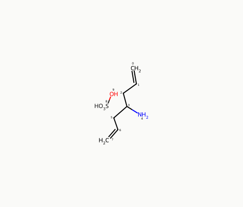 C=CCC(N)CC=C.O=S(=O)(O)O